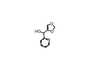 OC(C1=COCO1)c1ccccn1